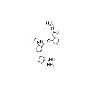 CCOC(=O)Cc1ccccc1OCc1nn(C)c2ccc(-c3cccc(C(=N)N)c3)cc12